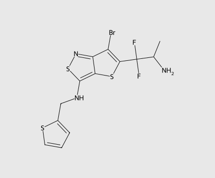 CC(N)C(F)(F)c1sc2c(NCc3cccs3)snc2c1Br